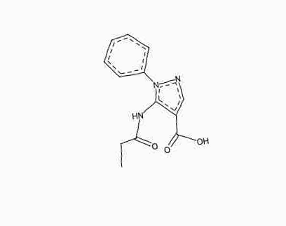 CCC(=O)Nc1c(C(=O)O)cnn1-c1ccccc1